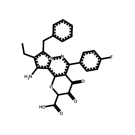 CCc1c(N)c2c3c(c(-c4ccc(F)cc4)nn2c1Cc1ccccc1)C(=O)C(=O)C(C(=O)O)O3